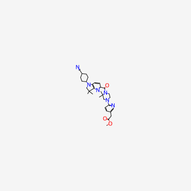 COC(=O)Cc1ccc(N2CCN(C(=O)c3ccc4c(n3)C(C)(C)CN4C3CCC(C#N)CC3)C(C)(C)C2)nc1